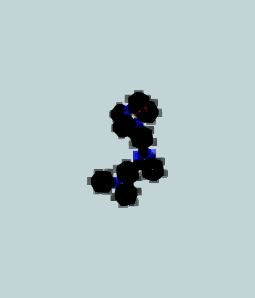 c1ccc(-n2ccc3ccc4c5cc(-c6nc(-c7ccc8c(c7)c7ccccc7n8-c7ccccc7)c7ccccc7n6)ccc5n(-c5ccccc5)c4c32)cc1